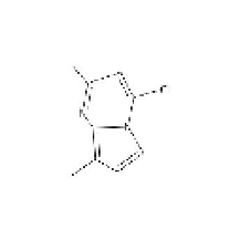 Cc1cc(Cl)n2ccc(C)c2n1